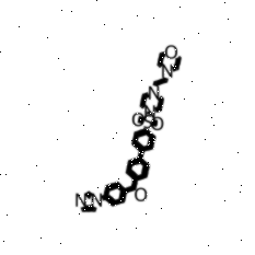 O=C(c1ccc(-c2ccc(S(=O)(=O)N3CCN(CCN4CCOCC4)CC3)cc2)cc1)c1ccc(-n2ccnc2)cc1